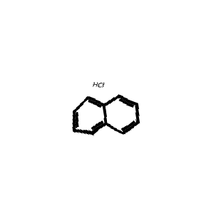 Cl.c1ccc2ccccc2c1